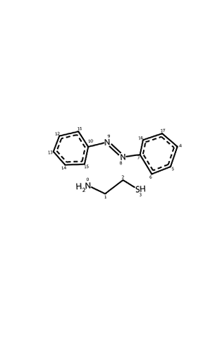 NCCS.c1ccc(N=Nc2ccccc2)cc1